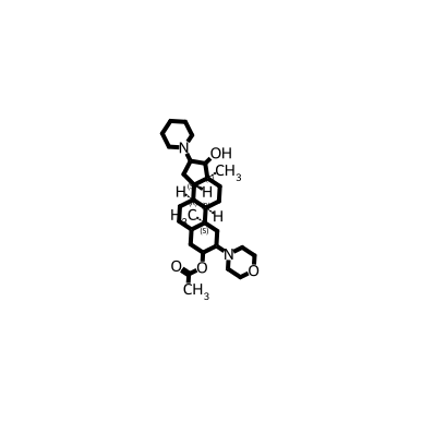 CC(=O)OC1CC2CC[C@@H]3[C@@H](CC[C@]4(C)C(O)C(N5CCCCC5)C[C@@H]34)[C@@]2(C)CC1N1CCOCC1